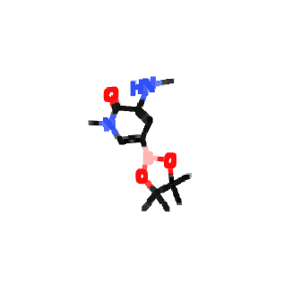 CNc1cc(B2OC(C)(C)C(C)(C)O2)cn(C)c1=O